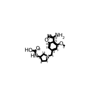 COc1cc(CN2CCC(NC(=O)O)C2)cc2onc(N)c12